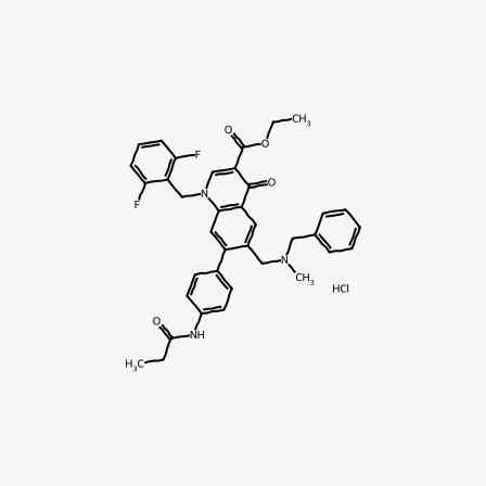 CCOC(=O)c1cn(Cc2c(F)cccc2F)c2cc(-c3ccc(NC(=O)CC)cc3)c(CN(C)Cc3ccccc3)cc2c1=O.Cl